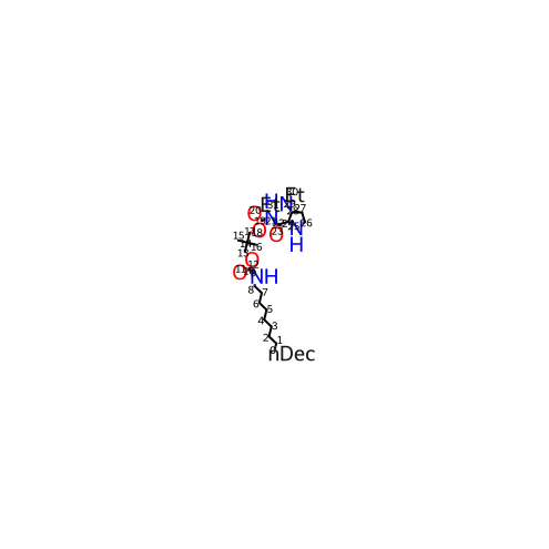 CCCCCCCCCCCCCCCCCCNC(=O)OCC(C)(C)COC(=O)NC(=O)C1NCCC1N(CC)CC